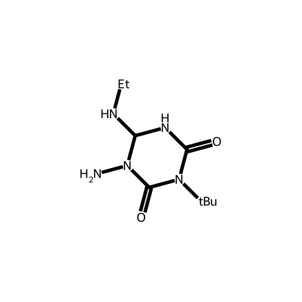 CCNC1NC(=O)N(C(C)(C)C)C(=O)N1N